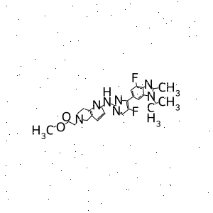 CCOC(=O)CN1CCc2nc(Nc3ncc(F)c(-c4cc(F)c5nc(C)n(C(C)C)c5c4)n3)ccc2C1